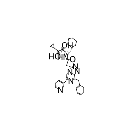 O=C(Cc1nnc2c(Cc3ccccc3)nc(-c3cccnc3)cn12)N[C@@H](CC1CCCCC1)[C@@H](O)[C@@H](O)C1CC1